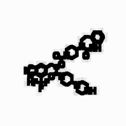 O=C(O[C@H](Cc1cc(C(F)(F)F)c2[nH]ncc2c1)C(=O)N1CCC(N2CCNCC2)CC1)N1CCC(N2CCc3ccccc3NC2=O)CC1